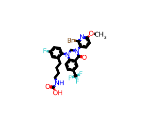 COc1ccc(N2CN(c3ccc(F)cc3CCCCNC(=O)O)c3ccc(C(F)(F)F)cc3C2=O)c(Br)n1